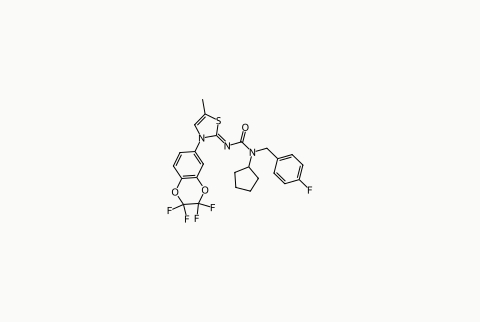 Cc1cn(-c2ccc3c(c2)OC(F)(F)C(F)(F)O3)c(=NC(=O)N(Cc2ccc(F)cc2)C2CCCC2)s1